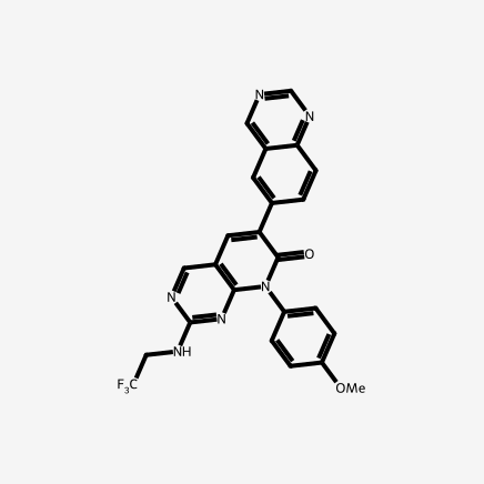 COc1ccc(-n2c(=O)c(-c3ccc4ncncc4c3)cc3cnc(NCC(F)(F)F)nc32)cc1